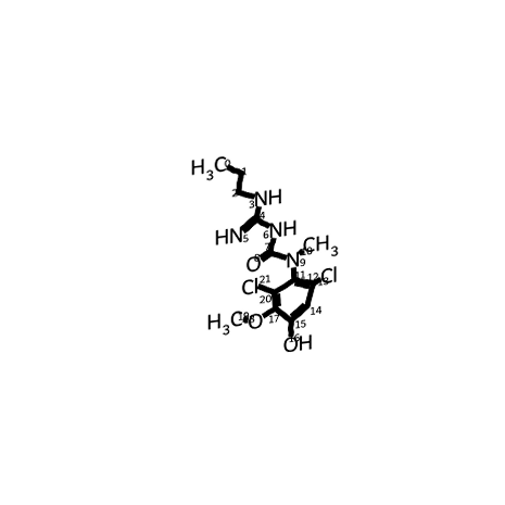 CCCNC(=N)NC(=O)N(C)c1c(Cl)cc(O)c(OC)c1Cl